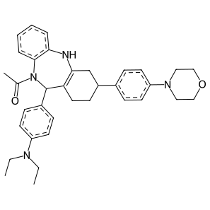 CCN(CC)c1ccc(C2C3=C(CC(c4ccc(N5CCOCC5)cc4)CC3)Nc3ccccc3N2C(C)=O)cc1